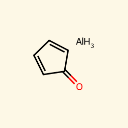 O=C1C=CC=C1.[AlH3]